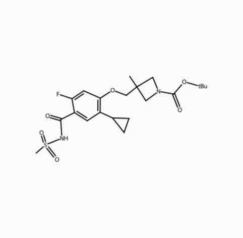 CC1(COc2cc(F)c(C(=O)NS(C)(=O)=O)cc2C2CC2)CN(C(=O)OC(C)(C)C)C1